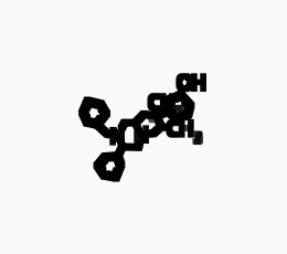 CC1CN2CC(c3ccccc3)N(Cc3ccccc3)CC2C[C@@]1(C)c1cccc(O)c1